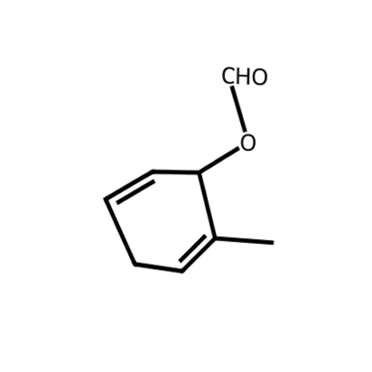 CC1=CCC=CC1OC=O